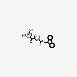 O=C(NCC(=O)C(=O)[C@H](CS)NCS)OCC1c2ccccc2-c2ccccc21